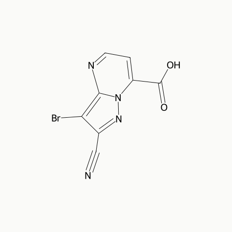 N#Cc1nn2c(C(=O)O)ccnc2c1Br